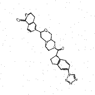 O=C1OCCc2cc(C3CN4CCN(C(=O)C5CCc6cc(-n7cnnn7)ccc65)CC4CO3)ccc21